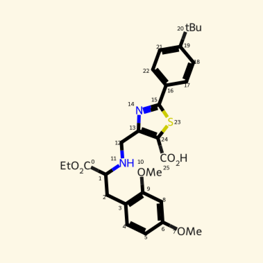 CCOC(=O)C(Cc1ccc(OC)cc1OC)NCc1nc(-c2ccc(C(C)(C)C)cc2)sc1C(=O)O